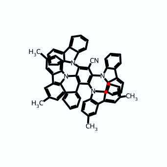 Cc1ccc2c(c1)c1cc(C)ccc1n2-c1c(-c2ccccc2)c(-n2c3ccc(C)cc3c3cc(C)ccc32)c(-n2c3ccccc3c3ccccc32)c(C#N)c1-n1c2ccccc2c2ccccc21